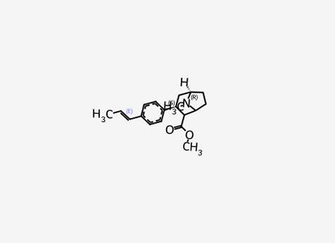 C/C=C/c1ccc([C@H]2C[C@H]3CCC(C2C(=O)OC)N3C)cc1